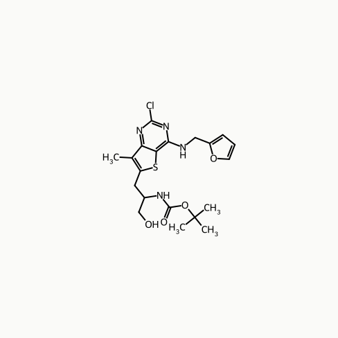 Cc1c(CC(CO)NC(=O)OC(C)(C)C)sc2c(NCc3ccco3)nc(Cl)nc12